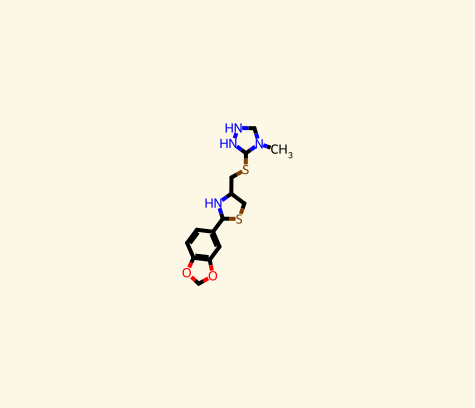 CN1CNNC1SCC1CSC(c2ccc3c(c2)OCO3)N1